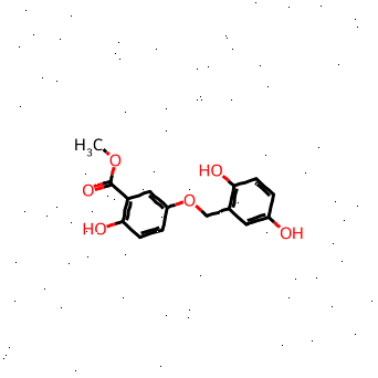 COC(=O)c1cc(OCc2cc(O)ccc2O)ccc1O